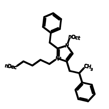 CCCCCCCCCCCCCC[n+]1c(CC(C)c2ccccc2)cn(CCCCCCCC)c1Cc1ccccc1